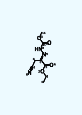 CCOC(=O)/C(CC#N)=N/NC(=O)OC